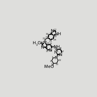 COC1CCN(c2nccc(Nc3cc4c(cn3)nc(C)n4Cc3ccc4[nH]cnc4c3)n2)CC1